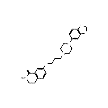 CN1CCc2ccc(OCCCN3CCN(c4ccc5c(c4)OCO5)CC3)cc2C1=O